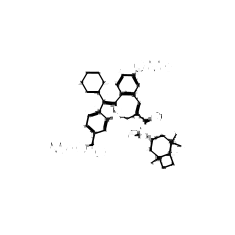 COC(=O)c1ccc2c(C3CCCCC3)c3n(c2c1)CC(C(=O)N(O)[C@@H]1CC(C)(C)C2CCC2(C)C1)=Cc1cc(OC)ccc1-3